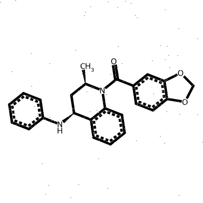 C[C@@H]1C[C@H](Nc2ccccc2)c2ccccc2N1C(=O)c1ccc2c(c1)OCO2